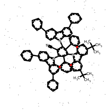 CC(C)(C)c1ccc2c(c1)c1cc(C(C)(C)C)ccc1n2-c1c(-c2ccccc2)c(-n2c3ccc(-c4ccccc4)cc3c3cc(-c4ccccc4)ccc32)c(C#N)c(-n2c3ccc(-c4ccccc4)cc3c3cc(-c4ccccc4)ccc32)c1-c1ccccc1